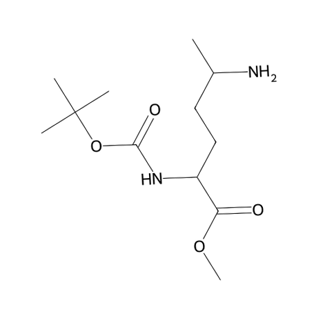 COC(=O)C(CCC(C)N)NC(=O)OC(C)(C)C